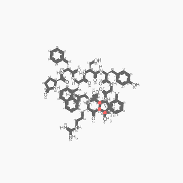 CC(C)C[C@H](NC(=O)[C@@H](Cc1ccccc1)NC(=O)[C@H](Cc1ccc(O)cc1)NC(=O)[C@H](CO)NC(=O)[C@H](Cc1cccc2ccccc12)NC(=O)[C@@H](Cc1ccccc1)NC(=O)[C@@H]1CCC(=O)N1)C(=O)N[C@@H](CCCNC(=N)N)C(=O)N1CCC[C@H]1C(=O)NCC(N)=O